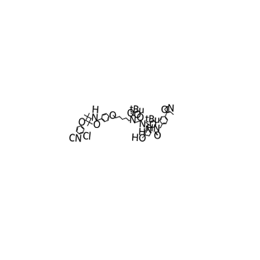 Cc1ncoc1-c1ccc(CNC(=O)[C@@H]2C[C@@H](O)CN2C(=O)C(NC(=O)CN(CCCCCOc2ccc(C(=O)N[C@H]3C(C)(C)[C@H](Oc4ccc(C#N)c(Cl)c4)C3(C)C)cc2)C(=O)OC(C)(C)C)C(C)(C)C)cc1